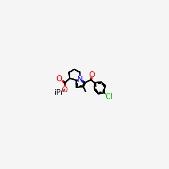 Cc1cc2n(c1C(=O)c1ccc(Cl)cc1)CCCC2C(=O)OC(C)C